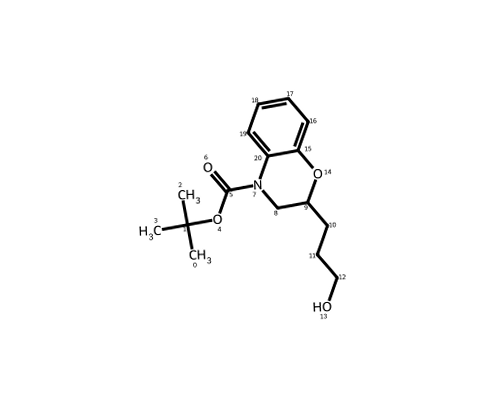 CC(C)(C)OC(=O)N1CC(CCCO)Oc2ccccc21